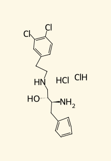 Cl.Cl.N[C@@H](Cc1ccccc1)[C@H](O)CNCCc1ccc(Cl)c(Cl)c1